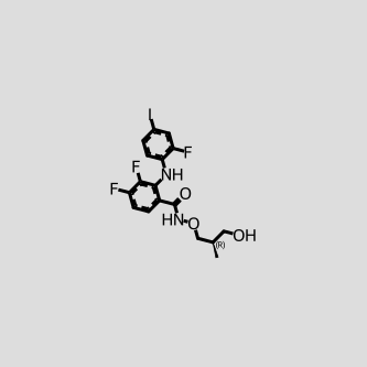 C[C@H](CO)CONC(=O)c1ccc(F)c(F)c1Nc1ccc(I)cc1F